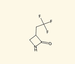 O=C1NCC1CC(F)(F)F